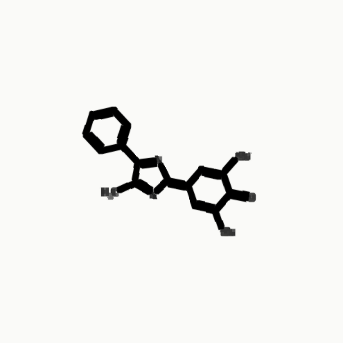 CC1=NC(=C2C=C(C(C)(C)C)C(=O)C(C(C)(C)C)=C2)N=C1c1ccccc1